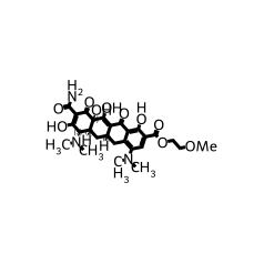 COCCOC(=O)c1cc(N(C)C)c2c(c1O)C(=O)C1=C(O)[C@]3(O)C(=O)C(C(N)=O)=C(O)[C@@H](N(C)C)[C@@H]3C[C@@H]1C2